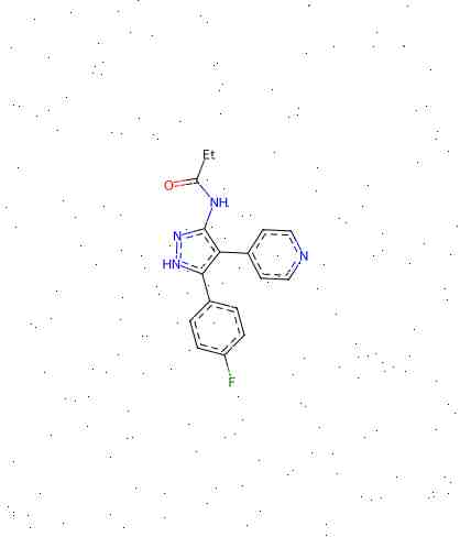 CCC(=O)Nc1n[nH]c(-c2ccc(F)cc2)c1-c1ccncc1